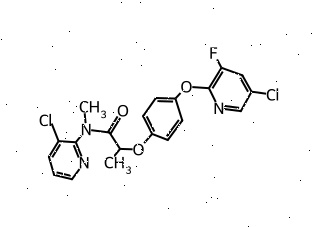 CC(Oc1ccc(Oc2ncc(Cl)cc2F)cc1)C(=O)N(C)c1ncccc1Cl